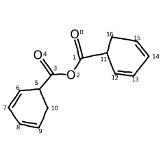 O=C(OC(=O)C1C=CC=CC1)C1C=CC=CC1